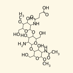 COC1OC(CO)C(OC2OC(CO)C(OC3OC(CO)C(OC)C(O)C3NC(=O)CCC(=O)O)C(O)C2N)C(O)C1NC(C)=O